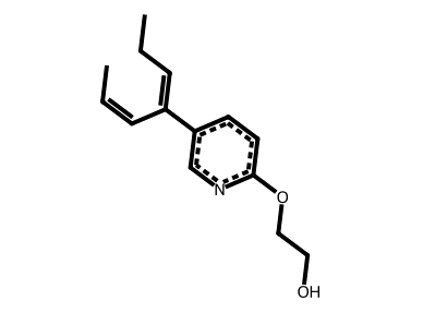 C/C=C\C(=C/CC)c1ccc(OCCO)nc1